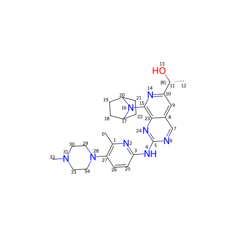 Cc1nc(Nc2ncc3cc([C@@H](C)O)nc(N4C5CCC4CC5)c3n2)ccc1N1CCN(C)CC1